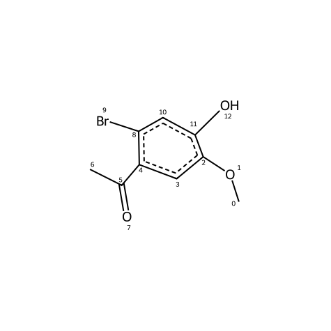 COc1cc(C(C)=O)c(Br)cc1O